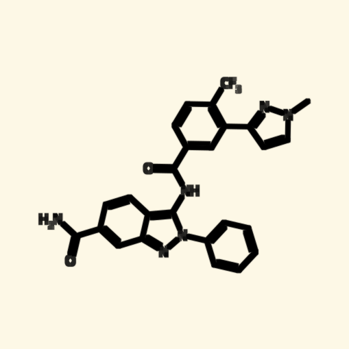 Cn1ccc(-c2cc(C(=O)Nc3c4ccc(C(N)=O)cc4nn3-c3ccccc3)ccc2C(F)(F)F)n1